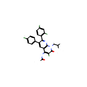 CC(=O)Nc1c(Cl)c(=O)n(CC(C)C)c2nc(-c3ccc(Cl)cc3Cl)c(-c3ccc(Cl)cc3)cc12